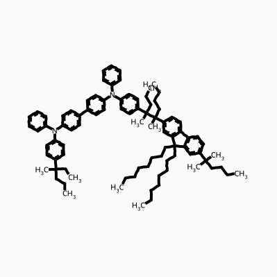 CCCCCCCCC1(CCCCCCCC)c2cc(C(C)(C)CCCC)ccc2-c2ccc(C(C)(CCCC)C(C)(CCC)c3ccc(N(c4ccccc4)c4ccc(-c5ccc(N(c6ccccc6)c6ccc(C(C)(CC)CCC)cc6)cc5)cc4)cc3)cc21